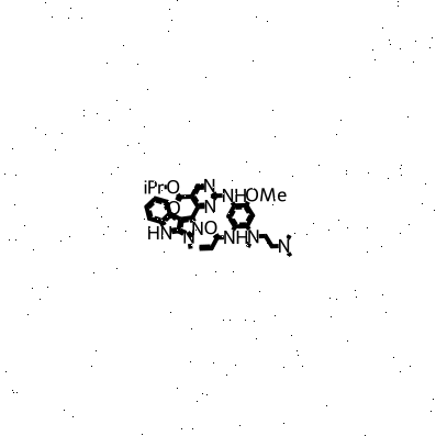 C=CC(=O)Nc1cc(Nc2ncc(C(=O)OC(C)C)c(-c3nn(C)c4[nH]c5ccccc5c34)n2)c(OC)cc1N(C)CCN(C)C